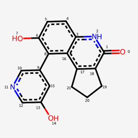 O=c1[nH]c2ccc(O)c(-c3cncc(O)c3)c2c2c1CCC2